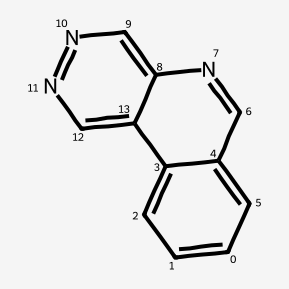 c1ccc2c(c1)cnc1cnncc12